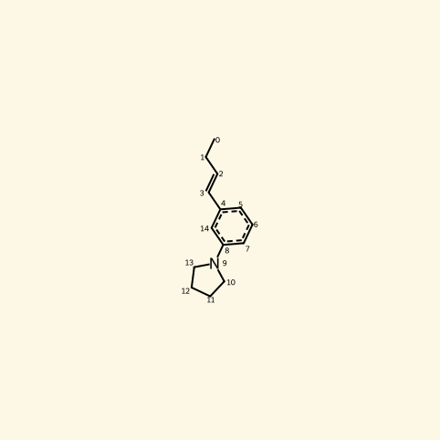 CCC=Cc1cccc(N2CCCC2)c1